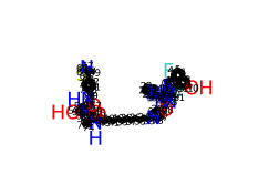 C#Cc1c(F)ccc2cc(O)cc(-c3ncc4c(N5CC6CCC(C5)N6)nc(OC5CCN(CCCCCCCCCCCC(=O)N[C@@H](C(=O)N6C[C@@H](O)C[C@@H]6C(=O)NCc6ccc(-c7scnc7C)cc6)C(C)(C)C)CC5)nc4c3F)c12